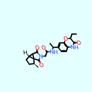 CCC1Oc2cc(C(C)NC(=O)CN3C(=O)C4[C@H]5CC[C@H](C)C45C3=O)ccc2NC1=O